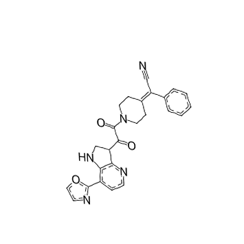 N#CC(=C1CCN(C(=O)C(=O)C2CNc3c(-c4ncco4)ccnc32)CC1)c1ccccc1